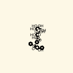 O=C1N(c2ccccc2)[C@H](c2ccc(S(=O)(=O)C[C@@H]3OC(CO)[C@@H](O[C@@H]4OC(CO)[C@@H](O)C(O)[C@@H]4O)C(O)[C@@H]3O)cc2)C12CCC(O)(c1ccccc1)CC2